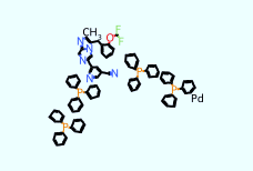 Cc1nc2cnc(-c3cncc(C#N)c3)cn2c1Cc1ccccc1OC(F)F.[Pd].c1ccc(P(c2ccccc2)c2ccccc2)cc1.c1ccc(P(c2ccccc2)c2ccccc2)cc1.c1ccc(P(c2ccccc2)c2ccccc2)cc1.c1ccc(P(c2ccccc2)c2ccccc2)cc1